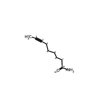 CC#CCCCCCC(N)=O